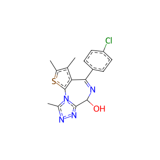 Cc1sc2c(c1C)C(c1ccc(Cl)cc1)=NC(O)c1nnc(C)n1-2